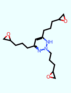 C1=C(CCCC2CO2)NN(CCCC2CO2)N=C1CCCC1CO1